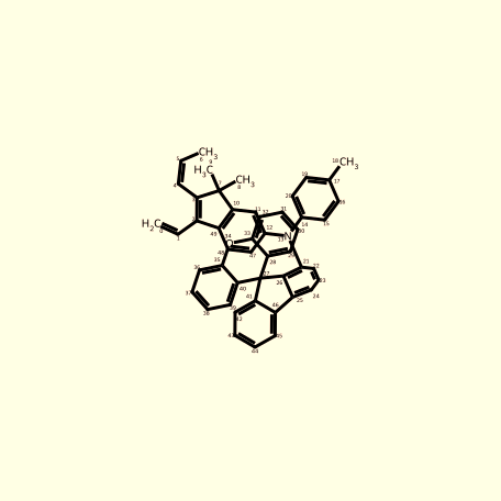 C=CC1=C(/C=C\C)C(C)(C)c2cc(N(c3ccc(C)cc3)c3cccc4c3C3(c5ccccc5Oc5ccccc53)c3ccccc3-4)ccc21